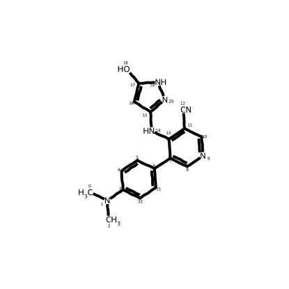 CN(C)c1ccc(-c2cncc(C#N)c2Nc2cc(O)[nH]n2)cc1